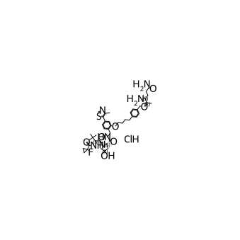 Cc1ncsc1-c1ccc(CNC(=O)[C@@H]2C[C@@H](O)CN2C(=O)[C@@H](NC(=O)C2(F)CC2)C(C)(C)C)c(OCCCCc2ccc(CO[C@H](C)[C@@H](N)CCC(N)=O)cc2)c1.Cl